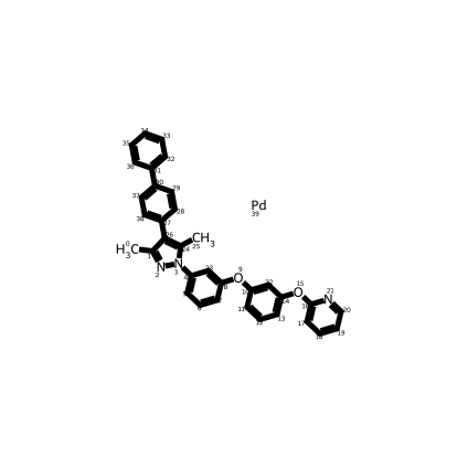 Cc1nn(-c2cccc(Oc3cccc(Oc4ccccn4)c3)c2)c(C)c1-c1ccc(-c2ccccc2)cc1.[Pd]